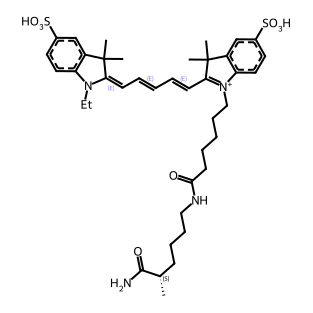 CCN1/C(=C/C=C/C=C/C2=[N+](CCCCCC(=O)NCCCC[C@H](C)C(N)=O)c3ccc(S(=O)(=O)O)cc3C2(C)C)C(C)(C)c2cc(S(=O)(=O)O)ccc21